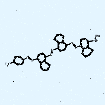 CCC(C)Nc1ccc(/N=N/c2ccc(/N=N/c3ccc(/N=N/c4ccc(C(F)(F)F)cc4)c4ccccc34)c3ccccc23)c2ccccc12